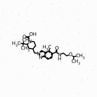 Cc1c(C(=O)NCCOC(C)C)ccc2nn(CC3CCN(C(=O)O)C(C(C)(C)C)C3)cc12